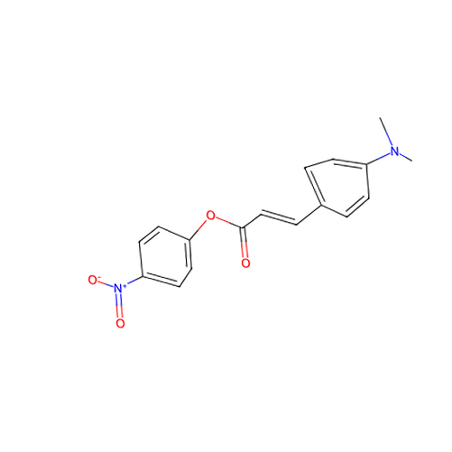 CN(C)c1ccc(C=CC(=O)Oc2ccc([N+](=O)[O-])cc2)cc1